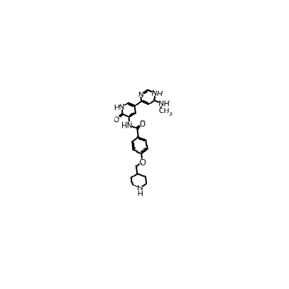 CNC1C=C(c2c[nH]c(=O)c(NC(=O)c3ccc(OCC4CCNCC4)cc3)c2)N=CN1